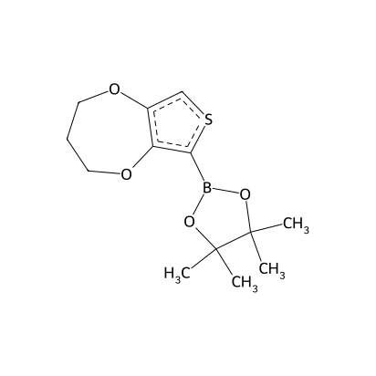 CC1(C)OB(c2scc3c2OCCCO3)OC1(C)C